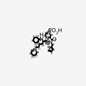 O=C(NCc1cccs1)[C@@H]1CN(C(=O)O)CCN1C(=O)C(CCCCN1CCCCC1)NC1CCCCC1